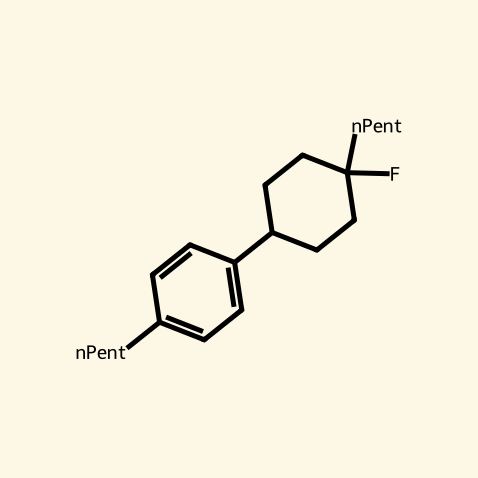 CCCCCc1ccc(C2CCC(F)(CCCCC)CC2)cc1